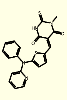 CN1C(=O)/C(=C/c2ccc(N(c3ccccc3)c3ccccn3)s2)C(=O)NC1=S